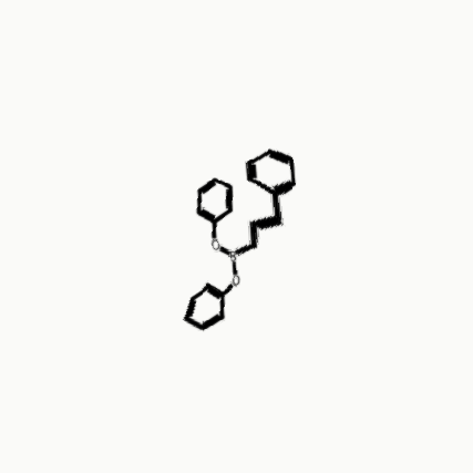 C(=Cc1ccccc1)CB(Oc1ccccc1)Oc1ccccc1